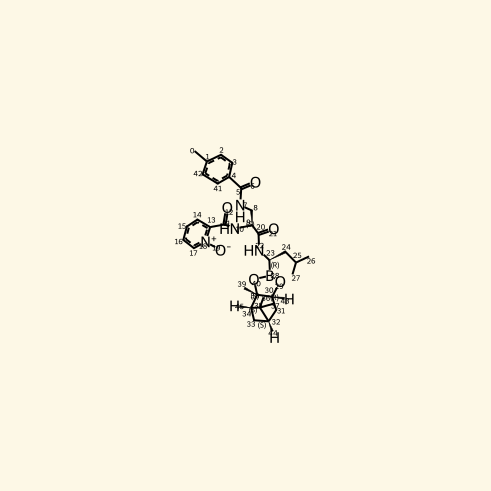 Cc1ccc(C(=O)NC[C@H](NC(=O)c2cccc[n+]2[O-])C(=O)N[C@@H](CC(C)C)B2O[C@@H]3C[C@@H]4C[C@@H](C4(C)C)[C@]3(C)O2)cc1